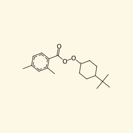 Cc1ccc(C(=O)OO[C]2CCC(C(C)(C)C)CC2)c(C)c1